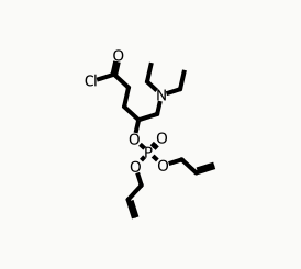 C=CCOP(=O)(OCC=C)OC(CCC(=O)Cl)CN(CC)CC